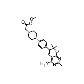 COOC(=O)C[C@H]1CC[C@H](c2ccc(C3=Cc4c(N)nc(C)nc4OC3(C)C)cc2)CC1